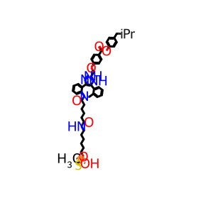 CC(C)Cc1ccc(OC(=O)c2ccc(OCCN/C3=C(\N=N)c4ccccc4N(C(=O)CCCCC(=O)NCCCCCCOP(C)(O)=S)Cc4ccccc43)cc2)cc1